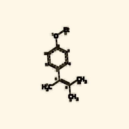 CCOc1ccc(C(C)=C(C)C)cc1